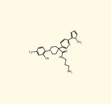 Cn1cccc1-c1ccc(C2(C(=O)NCCCN)CCN(c3ccc(C(F)(F)F)cc3C#N)CC2)cn1